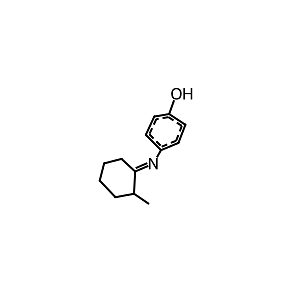 CC1CCCCC1=Nc1ccc(O)cc1